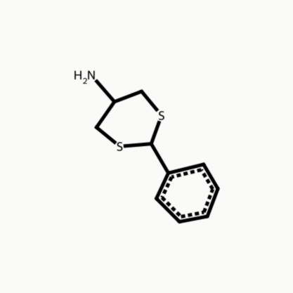 NC1CSC(c2ccccc2)SC1